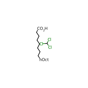 CCCCCCCCCCCCCCCC(=O)O.ClC(Cl)Cl